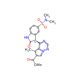 COC(=O)c1cn2ncnc([C@H]3C(=O)Nc4ccc(S(=O)(=O)N(C)C)cc43)c2c1C